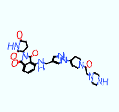 O=C1CCC(N2C(=O)c3cccc(NCc4cnn(C5CCN(C(=O)CN6CCNCC6)CC5)c4)c3C2=O)C(=O)N1